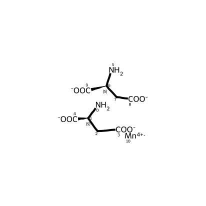 N[C@@H](CC(=O)[O-])C(=O)[O-].N[C@@H](CC(=O)[O-])C(=O)[O-].[Mn+4]